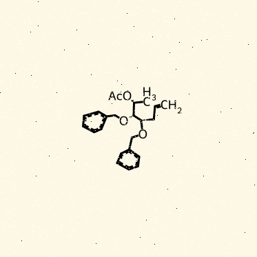 C=CC[C@@H](OCc1ccccc1)[C@H](OCc1ccccc1)[C@@H](C)OC(C)=O